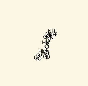 CC(=O)OC(=O)CC[C@H](NC(=O)c1ccc(NCc2cnc3[nH]c(N)nc(=O)c3n2)cc1)C(=O)OC(C)=O